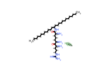 CCCCCCCCCCCCCC(CCCCCCCCCCCC)NC(=O)[C@@H](N)CCCC(N)C(=O)[C@@H](N)CCCNC(=N)N.Cl.Cl.Cl